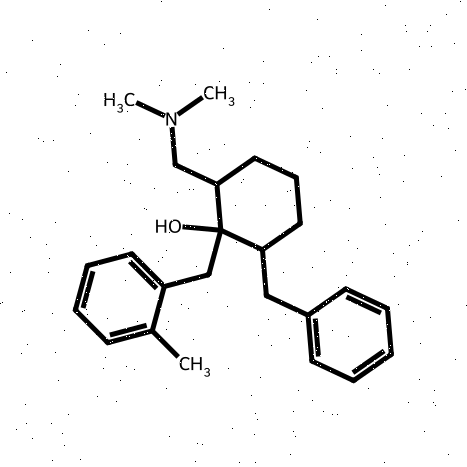 Cc1ccccc1CC1(O)C(Cc2ccccc2)CCCC1CN(C)C